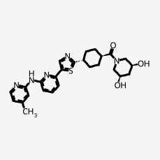 Cc1ccnc(Nc2cccc(-c3cnc([C@H]4CC[C@H](C(=O)N5C[C@H](O)C[C@H](O)C5)CC4)s3)n2)c1